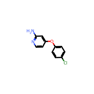 Nc1cc(Oc2ccc(Cl)cc2)ccn1